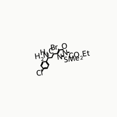 CCOC(=O)Cn1c(SC)nc([C@@H](C)C[C@H](N)c2ccc(Cl)cc2)c(Br)c1=O